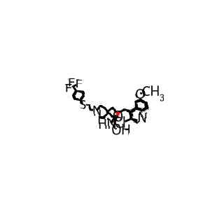 COc1ccc2ncc(Cl)c(CCCC3(C(=O)NO)CCN(CCSc4ccc(C(F)(F)F)cc4)CC3)c2c1